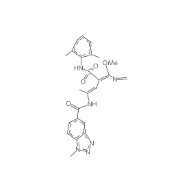 C=N/C(OC)=C(\C=C(/C)NC(=O)c1ccc2c(c1)nnn2C)S(=O)(=O)Nc1c(C)cccc1C